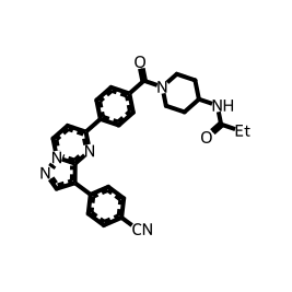 CCC(=O)NC1CCN(C(=O)c2ccc(-c3ccn4ncc(-c5ccc(C#N)cc5)c4n3)cc2)CC1